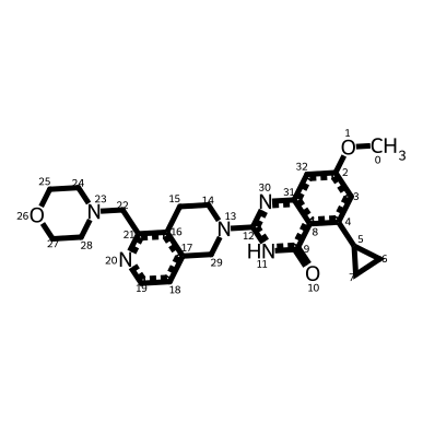 COc1cc(C2CC2)c2c(=O)[nH]c(N3CCc4c(ccnc4CN4CCOCC4)C3)nc2c1